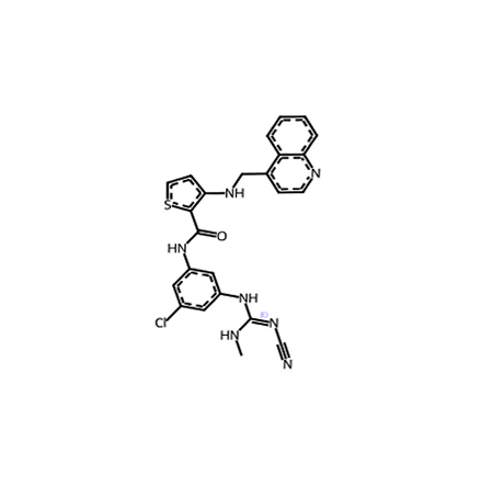 CN/C(=N\C#N)Nc1cc(Cl)cc(NC(=O)c2sccc2NCc2ccnc3ccccc23)c1